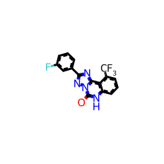 O=c1[nH]c2cccc(C(F)(F)F)c2c2nc(-c3cccc(F)c3)nn12